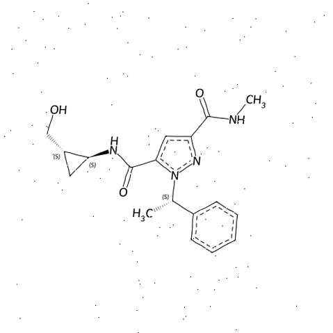 CNC(=O)c1cc(C(=O)N[C@H]2C[C@@H]2CO)n([C@@H](C)c2ccccc2)n1